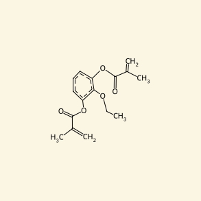 C=C(C)C(=O)Oc1cccc(OC(=O)C(=C)C)c1OCC